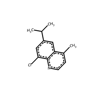 Cc1ccnc2c(Cl)cc(C(C)C)cc12